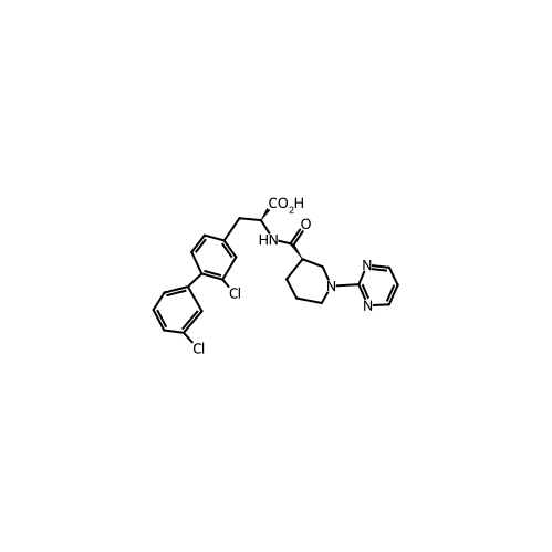 O=C(N[C@@H](Cc1ccc(-c2cccc(Cl)c2)c(Cl)c1)C(=O)O)[C@@H]1CCCN(c2ncccn2)C1